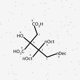 CCCCCCCCCCCC(CCCCCCCC)(CCCCCCCC)C(O)(CC(=O)O)C(=O)O